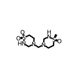 C=S1(=O)CCN(CN2CCS(=O)(=O)NC2)CN1